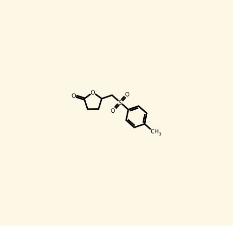 Cc1ccc(S(=O)(=O)CC2CCC(=O)O2)cc1